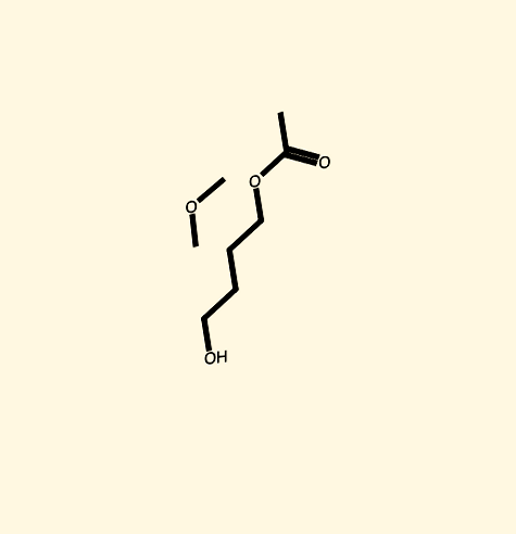 CC(=O)OCCCCO.COC